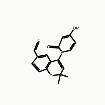 CC1(C)C=C(n2ccc(O)cc2=O)c2cc(C=O)ccc2O1